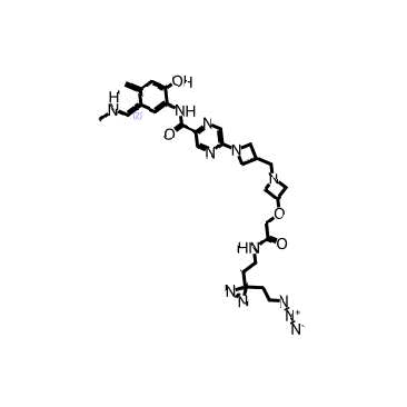 C=c1cc(O)c(NC(=O)c2cnc(N3CC(CN4CC(OCC(=O)NCCC5(CCN=[N+]=[N-])N=N5)C4)C3)cn2)c/c1=C/NC